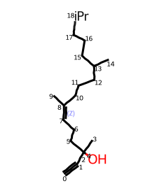 C#CC(C)(O)CC/C=C(/C)CCCC(C)CCCC(C)C